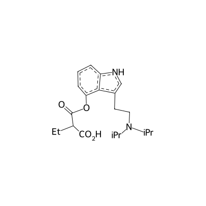 CCC(C(=O)O)C(=O)Oc1cccc2[nH]cc(CCN(C(C)C)C(C)C)c12